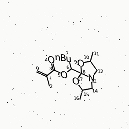 C=C(C)C(=O)OC(CCCC)C12OC(C)CN1CC(C)O2